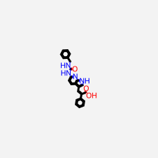 O=C(NCc1ccccc1)Nc1ccc2c(C=C(C(=O)O)c3ccccc3)c[nH]c2n1